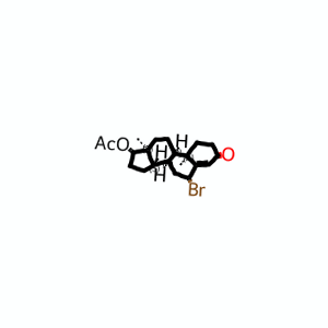 CC(=O)OC1CC[C@H]2[C@@H]3CC(Br)C4=CC(=O)CC[C@]4(C)[C@@H]3CC[C@]12C